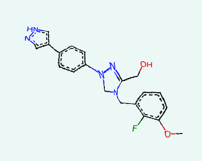 COc1cccc(CN2CN(c3ccc(-c4cn[nH]c4)cc3)N=C2CO)c1F